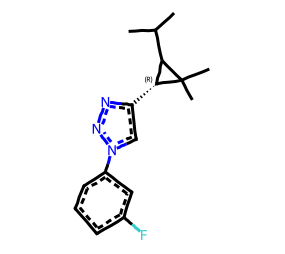 CC(C)C1[C@@H](c2cn(-c3cccc(F)c3)nn2)C1(C)C